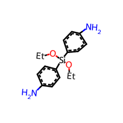 CCO[Si](OCC)(c1ccc(N)cc1)c1ccc(N)cc1